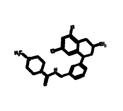 CN1CCN(C(=O)NCc2cccc(C3CN(C)Cc4c(Cl)cc(Cl)cc43)c2)CC1